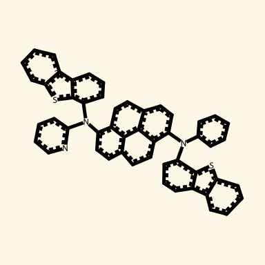 c1ccc(N(c2ccc3ccc4c(N(c5ccccn5)c5cccc6c5sc5ccccc56)ccc5ccc2c3c54)c2cccc3c2sc2ccccc23)cc1